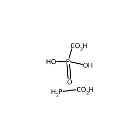 O=C(O)P.O=C(O)P(=O)(O)O